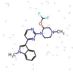 CN1CCN(c2nccc(-c3cn(C)c4ccccc34)n2)C(OC(F)F)C1